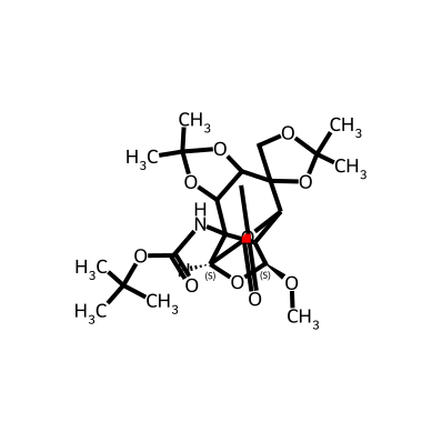 CO[C@H]1O[C@@H]2C(=O)OC3C1C2(NC(=O)OC(C)(C)C)C1OC(C)(C)OC1C31COC(C)(C)O1